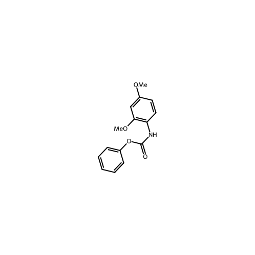 COc1ccc(NC(=O)Oc2ccccc2)c(OC)c1